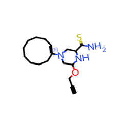 C#CCOC1CN(/C2=C/CCCCCCCC2)CC(C(N)=S)N1